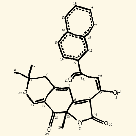 CC1(C)CC2=CC3=C(/C(O)=C\C(=O)c4ccc5ccccc5c4)C(=O)OC3(C)C(=O)C2=CO1